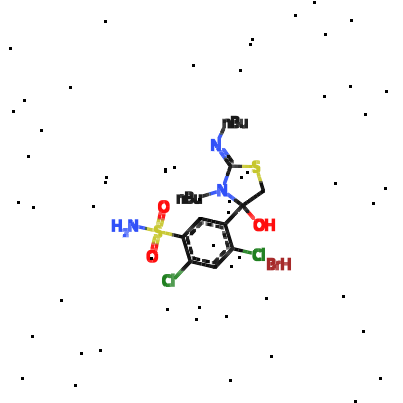 Br.CCCCN=C1SCC(O)(c2cc(S(N)(=O)=O)c(Cl)cc2Cl)N1CCCC